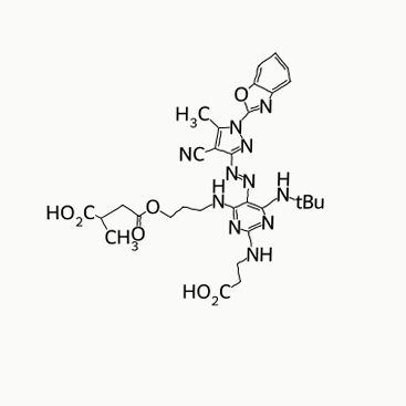 Cc1c(C#N)c(N=Nc2c(NCCCOC(=O)CC(C)C(=O)O)nc(NCCC(=O)O)nc2NC(C)(C)C)nn1-c1nc2ccccc2o1